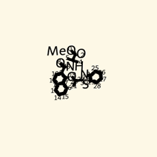 COC(=O)C(C)(C)NC(=O)c1ccc2ccccc2c1OC(C)c1nc2ccccc2s1